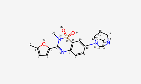 Cc1ccc(C2=Nc3ccc(N4CCN5CCC4CC5)cc3S(=O)(=O)N2C)o1